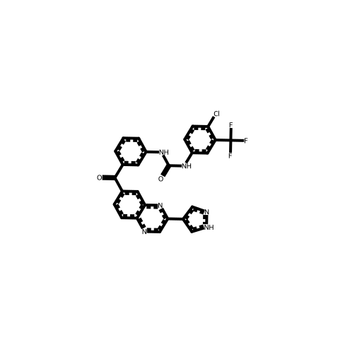 O=C(Nc1cccc(C(=O)c2ccc3ncc(-c4cn[nH]c4)nc3c2)c1)Nc1ccc(Cl)c(C(F)(F)F)c1